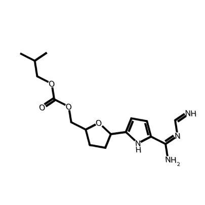 CC(C)COC(=O)OCC1CCC(c2ccc(/C(N)=N\C=N)[nH]2)O1